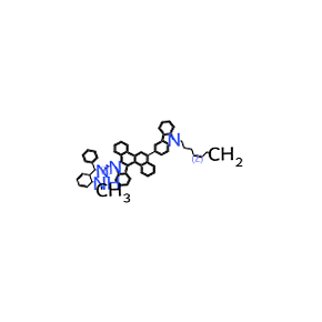 C=C/C=C\CCCn1c2ccccc2c2cc(-c3cc4c5ccccc5c5c(c6ccccc6n5/C=N/C(c5ccccc5)C5C=CC=CC5NC)c4c4ccccc34)ccc21